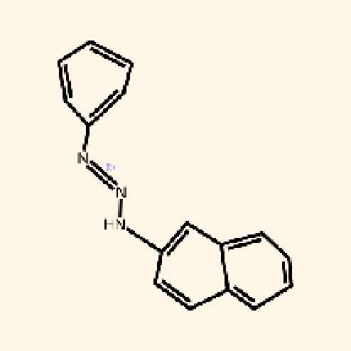 c1ccc(/N=N/Nc2ccc3ccccc3c2)cc1